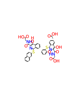 CC(=O)O.COc1ccccc1Sc1nc(C(=O)NCC(=O)O)c(O)c2ccccc12.O=C(O)CNC(=O)c1nc(Sc2ccc3ccccc3c2)c2ccccc2c1O